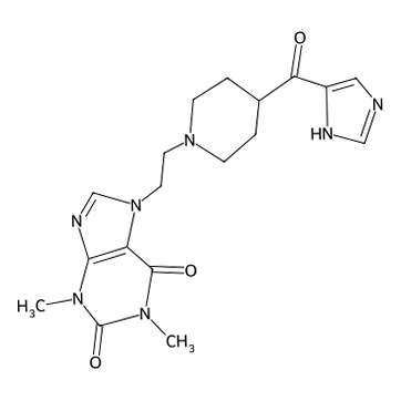 Cn1c(=O)c2c(ncn2CCN2CCC(C(=O)c3cnc[nH]3)CC2)n(C)c1=O